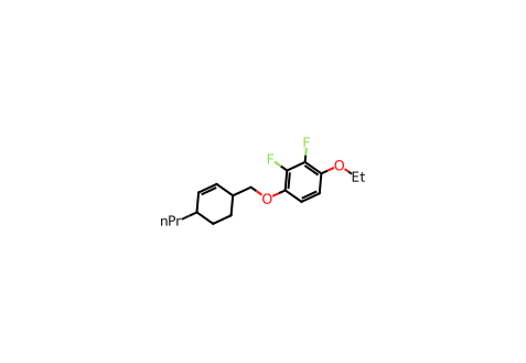 CCCC1C=CC(COc2ccc(OCC)c(F)c2F)CC1